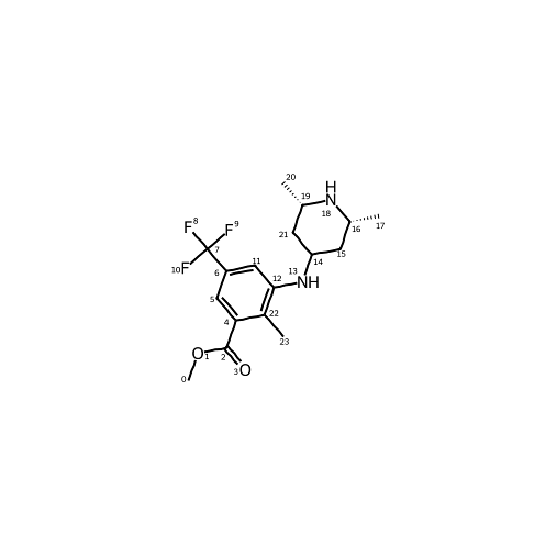 COC(=O)c1cc(C(F)(F)F)cc(NC2C[C@@H](C)N[C@@H](C)C2)c1C